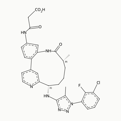 Cc1c(N[C@H]2CCC[C@@H](C)C(=O)Nc3cc(NC(=O)CC(=O)O)ccc3-c3ccnc2c3)nnn1-c1cccc(Cl)c1F